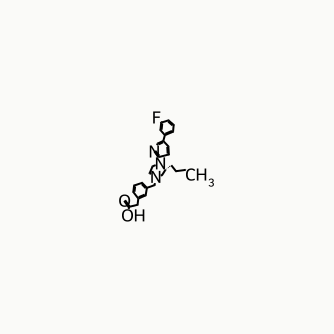 CCCC[C@@H]1CN(Cc2cccc(CC(=O)O)c2)CCN1c1ccc(-c2cccc(F)c2)cn1